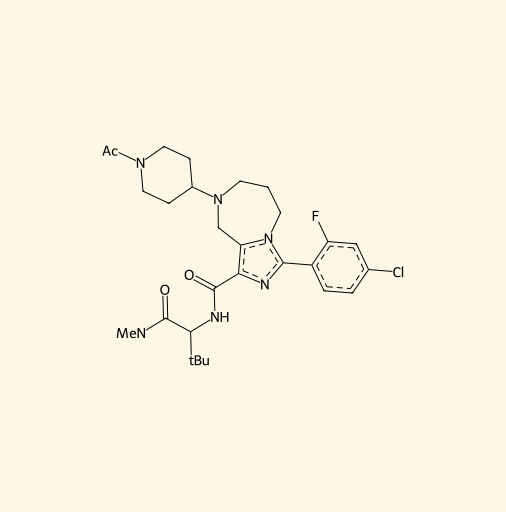 CNC(=O)C(NC(=O)c1nc(-c2ccc(Cl)cc2F)n2c1CN(C1CCN(C(C)=O)CC1)CCC2)C(C)(C)C